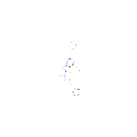 O=C(NCc1ccccc1)[C@H]1CCCN1c1nc2nc(COC3CCOCC3)nc(C3CC3)c2s1